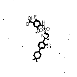 COc1cc(C(=O)O)c(F)cc1NS(=O)(=O)c1csc(-c2ccc(C3CCC(C)(C)CC3)cc2OC)n1